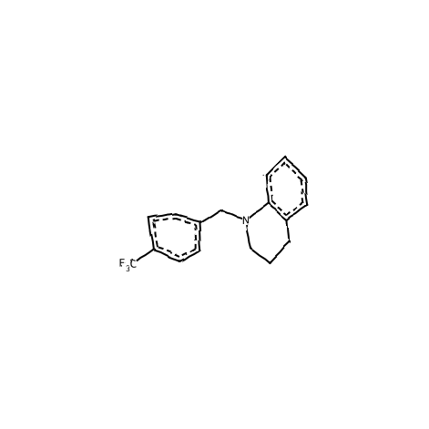 FC(F)(F)c1ccc(CN2CCCc3ccc[c]c32)cc1